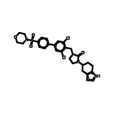 O=C1C(Cc2c(Cl)cc(-c3ccc(S(=O)(=O)N4CCOCC4)cc3)cc2Cl)CCN1C1CCc2[nH]cnc2C1